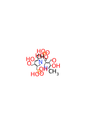 Cc1ncc(COP(=O)(O)O)c(C=O)c1O.Cc1ncc(CP(=O)(O)O)c(C=O)c1O